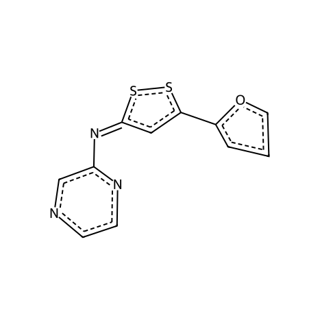 c1coc(-c2cc(=Nc3cnccn3)ss2)c1